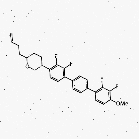 C=CCCC1CCC(c2ccc(-c3ccc(-c4ccc(OC)c(F)c4F)cc3)c(F)c2F)CO1